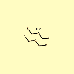 FCOCF.FCOCF.O